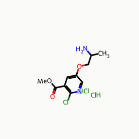 COC(=O)c1cc(OCC(C)N)cnc1Cl.Cl.Cl